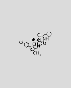 CCCCN1C(=O)C(CC2CCCCC2)NC(=O)C12CCN(Cc1c(C)nn(-c3ccc(Cl)cc3)c1C)CC2